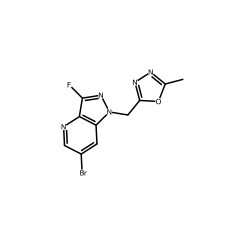 Cc1nnc(Cn2nc(F)c3ncc(Br)cc32)o1